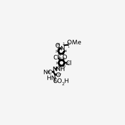 COCCn1cc(Oc2c(Cl)cc(NN=C(C#N)C(=O)NC(=O)O)cc2Cl)ccc1=O